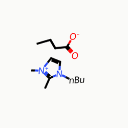 CCCC(=O)[O-].CCCCn1cc[n+](C)c1C